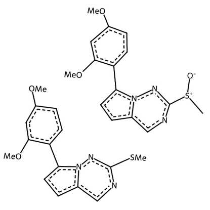 COc1ccc(-c2ccc3cnc(SC)nn23)c(OC)c1.COc1ccc(-c2ccc3cnc([S+](C)[O-])nn23)c(OC)c1